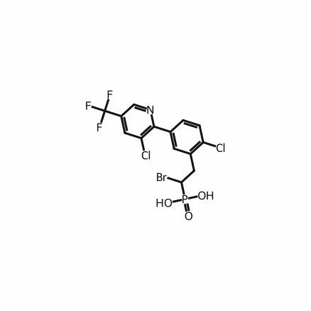 O=P(O)(O)C(Br)Cc1cc(-c2ncc(C(F)(F)F)cc2Cl)ccc1Cl